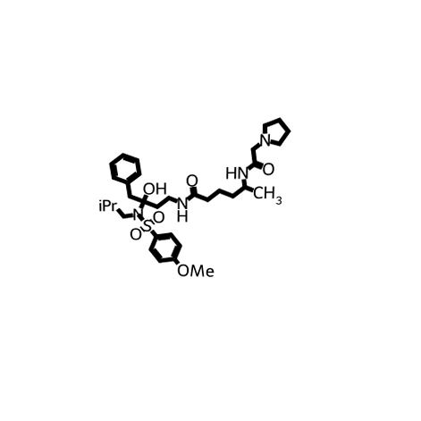 COc1ccc(S(=O)(=O)N(CC(C)C)C(O)(CCNC(=O)CCCC(C)NC(=O)CN2CCCC2)Cc2ccccc2)cc1